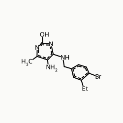 CCc1cc(CNc2nc(O)nc(C)c2N)ccc1Br